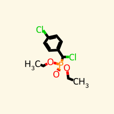 CCOP(=O)(OCC)C(Cl)c1ccc(Cl)cc1